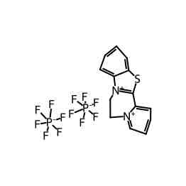 F[P-](F)(F)(F)(F)F.F[P-](F)(F)(F)(F)F.c1cc[n+]2c(c1)-c1sc3ccccc3[n+]1CC2